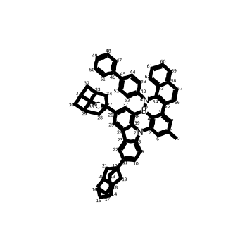 Cc1cc2c3c(c1)-n1c4ccc(C56CC7CC8CC7(C5)C8C6)cc4c4cc(C56CC7CC8CC(C5)C87C6)cc(c41)B3N(c1ccc(-c3ccccc3)cc1)c1c-2ccc2ccccc12